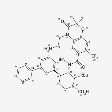 CC(C)N(C(=O)c1cc2c(cc1C(F)(F)F)OC(C)(C)C(=O)N2CCN)[C@@H]1C(C(C)(C)C)N(C(=O)O)CC[C@H]1c1cccc(-c2ccccc2)c1